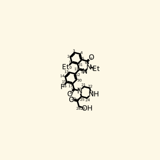 CCc1cccc2c(=O)n(CC)nc(-c3ccc(F)c(C(=O)N4CCNCC4C(=O)CO)c3)c12